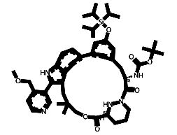 COCc1ccncc1-c1[nH]c2ccc3cc2c1CC(C)(C)COC(=O)[C@@H]1CCCN(N1)C(=O)[C@@H](NC(=O)OC(C)(C)C)Cc1cc(O[Si](C(C)C)(C(C)C)C(C)C)cc-3c1